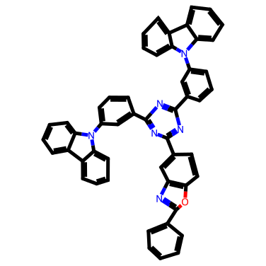 c1ccc(-c2nc3cc(-c4nc(-c5cccc(-n6c7ccccc7c7ccccc76)c5)nc(-c5cccc(-n6c7ccccc7c7ccccc76)c5)n4)ccc3o2)cc1